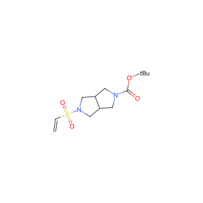 C=CS(=O)(=O)N1CC2CN(C(=O)OC(C)(C)C)CC2C1